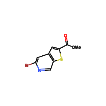 COC(=O)c1cc2cc(Br)ncc2s1